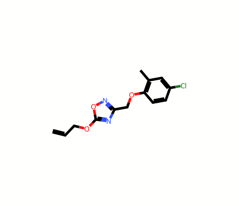 C=CCOc1nc(COc2ccc(Cl)cc2C)no1